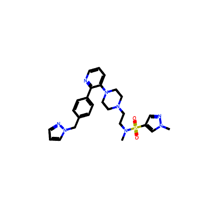 CN(CCN1CCN(c2cccnc2-c2ccc(Cn3cccn3)cc2)CC1)S(=O)(=O)c1cnn(C)c1